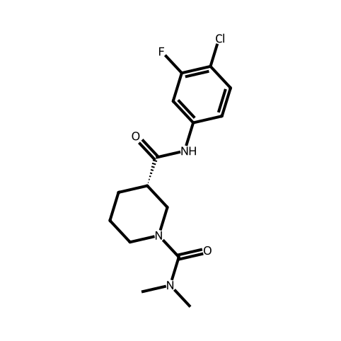 CN(C)C(=O)N1CCC[C@H](C(=O)Nc2ccc(Cl)c(F)c2)C1